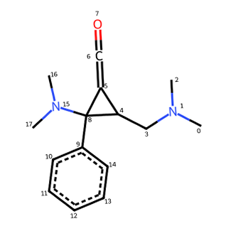 CN(C)CC1C(=C=O)C1(c1ccccc1)N(C)C